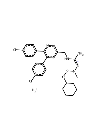 CN(/N=C(/N)NCc1cnc(-c2ccc(Cl)cc2)c(-c2ccc(Cl)cc2)c1)SOC1CCCCC1.S